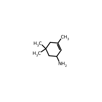 CC1=CC(N)CC(C)(C)C1